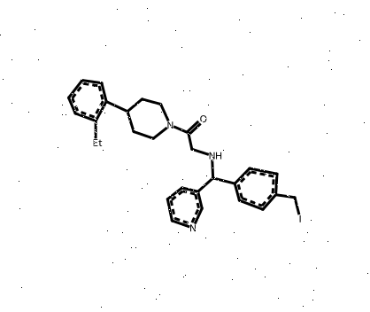 CCc1ccccc1C1CCN(C(=O)CNC(c2ccc(CI)cc2)c2cccnc2)CC1